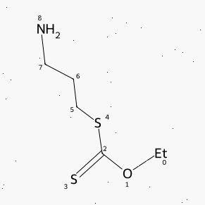 CCOC(=S)SCCCN